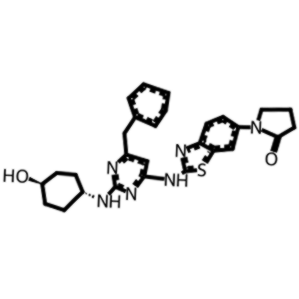 O=C1CCCN1c1ccc2nc(Nc3cc(Cc4ccccc4)nc(N[C@H]4CC[C@H](O)CC4)n3)sc2c1